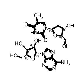 Cc1cn([C@H]2C[C@H](O)[C@@H](CO)O2)c(=O)[nH]c1=O.Nc1ncnc2c1ncn2[C@@H]1O[C@H](CO)[C@@H](O)[C@H]1O